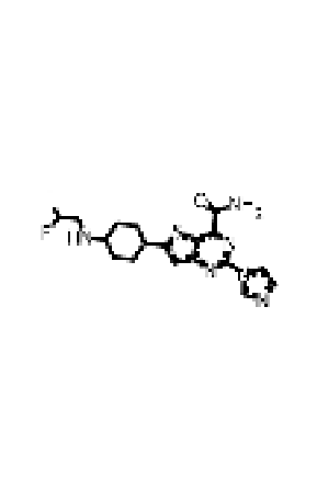 NC(=O)c1nc(-n2ccnc2)nc2cc(C3CCC(NCC(F)F)CC3)sc12